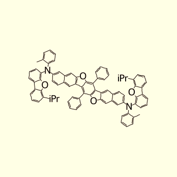 Cc1ccccc1N(c1ccc2cc3c(cc2c1)oc1c(-c2ccccc2)c2c(oc4cc5cc(N(c6ccccc6C)c6cccc7c6oc6c(C(C)C)cccc67)ccc5cc42)c(-c2ccccc2)c13)c1cccc2c1oc1c(C(C)C)cccc12